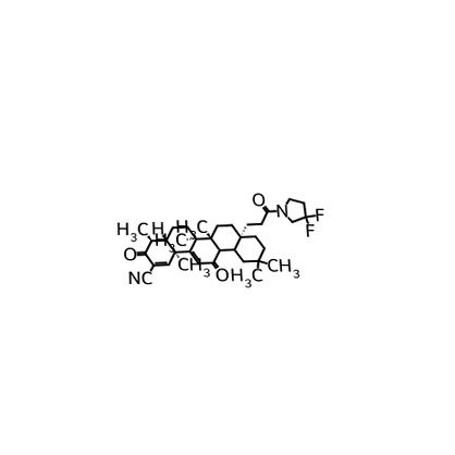 C[C@@H]1C(=O)C(C#N)=C[C@]2(C)C3=CC(=O)C4C5CC(C)(C)CC[C@]5(CCC(=O)N5CCC(F)(F)C5)CC[C@@]4(C)[C@]3(C)CC[C@@H]12